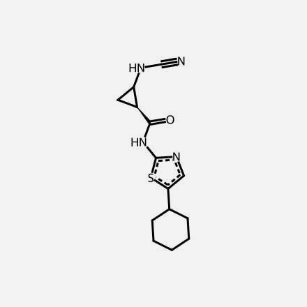 N#CNC1C[C@@H]1C(=O)Nc1ncc(C2CCCCC2)s1